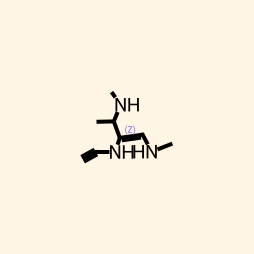 C#CN/C(=C\NC)C(C)NC